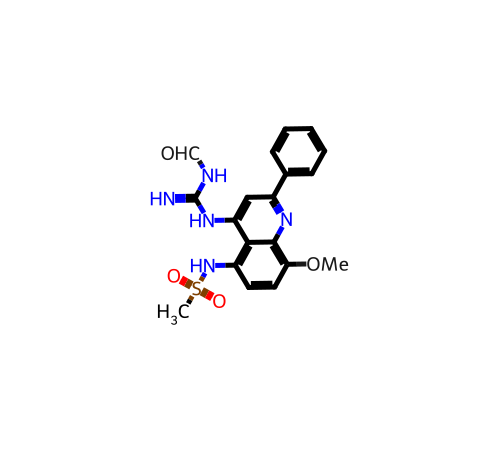 COc1ccc(NS(C)(=O)=O)c2c(NC(=N)NC=O)cc(-c3ccccc3)nc12